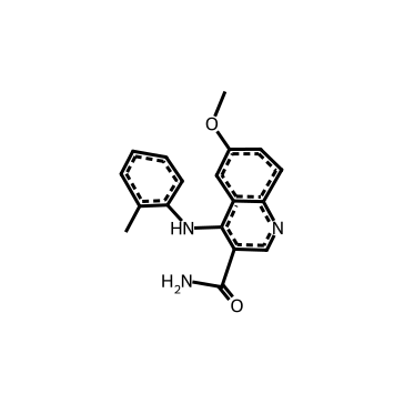 COc1ccc2ncc(C(N)=O)c(Nc3ccccc3C)c2c1